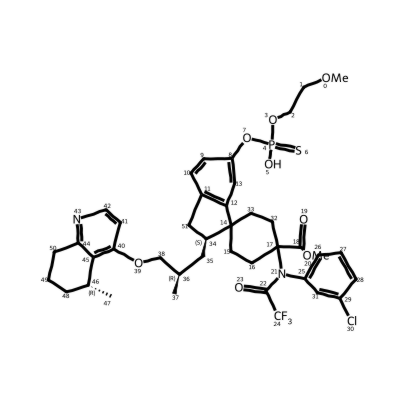 COCCOP(O)(=S)Oc1ccc2c(c1)C1(CCC(C(=O)OC)(N(C(=O)C(F)(F)F)c3cccc(Cl)c3)CC1)[C@@H](C[C@@H](C)COc1ccnc3c1[C@H](C)CCC3)C2